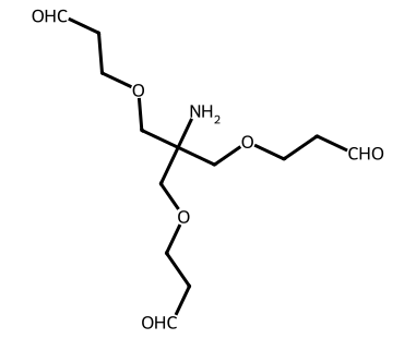 NC(COCCC=O)(COCCC=O)COCCC=O